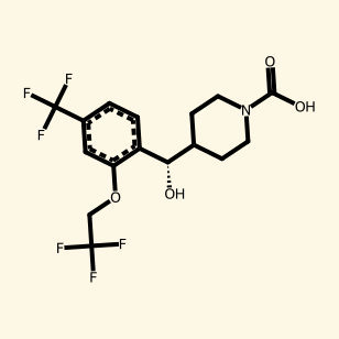 O=C(O)N1CCC([C@H](O)c2ccc(C(F)(F)F)cc2OCC(F)(F)F)CC1